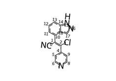 N#CC(=C(Cl)c1ccncc1)c1cccc2[nH]ncc12